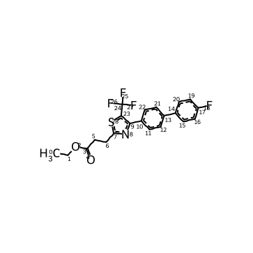 CCOC(=O)CCc1nc(-c2ccc(-c3ccc(F)cc3)cc2)c(C(F)(F)F)s1